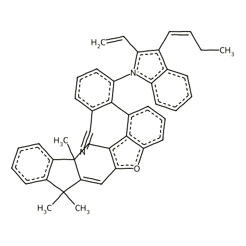 C=Cc1c(/C=C\CC)c2ccccc2n1-c1cccc(C#N)c1-c1cccc2oc3c(c12)CC1(C)C(=C3)C(C)(C)c2ccccc21